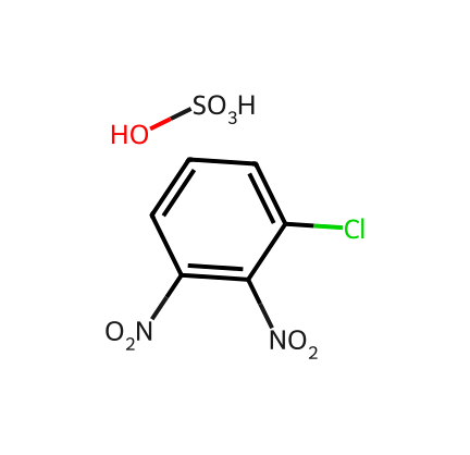 O=S(=O)(O)O.O=[N+]([O-])c1cccc(Cl)c1[N+](=O)[O-]